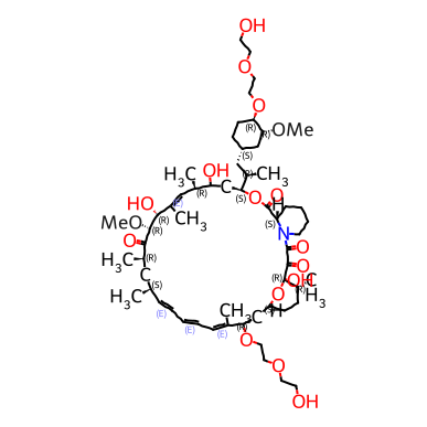 CO[C@@H]1C[C@H](C[C@@H](C)[C@@H]2CC(O)[C@H](C)/C=C(\C)[C@@H](O)[C@@H](OC)C(=O)[C@H](C)C[C@H](C)/C=C/C=C/C=C(\C)[C@H](OCCOCCO)C[C@@H]3CC[C@@H](C)[C@@](O)(O3)C(=O)C(=O)N3CCCC[C@H]3C(=O)O2)CC[C@H]1OCCOCCO